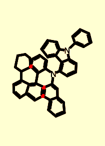 c1ccc(-n2c3ccccc3c3c(N(c4ccc5ccccc5c4)c4ccccc4-c4cccc5cccc(C6CCCCC6)c45)cccc32)cc1